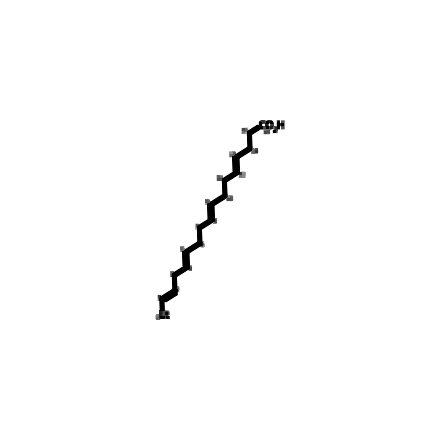 CC/C=C/C/C=C/CC/C=C/CC/C=C/CCC(=O)O